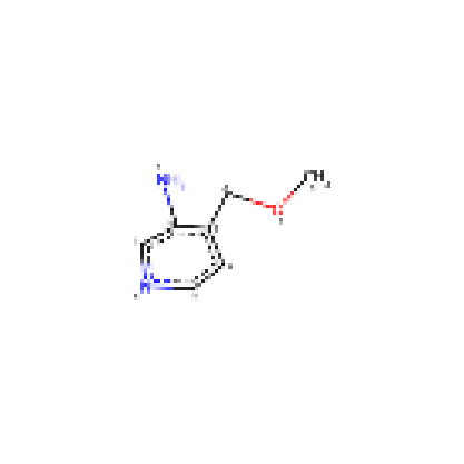 COCc1ccn[c]c1N